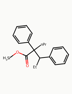 CCCC(C(=O)O[SiH3])(c1ccccc1)C(CC)c1ccccc1